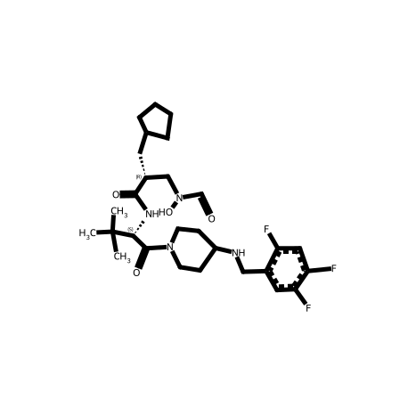 CC(C)(C)[C@H](NC(=O)[C@H](CC1CCCC1)CN(O)C=O)C(=O)N1CCC(NCc2cc(F)c(F)cc2F)CC1